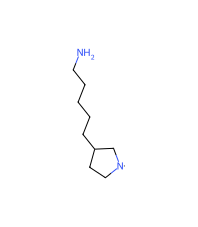 NCCCCCC1CC[N]C1